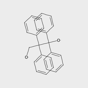 [O]CC(c1ccccc1)(c1ccccc1)C([O])(c1ccccc1)c1ccccc1